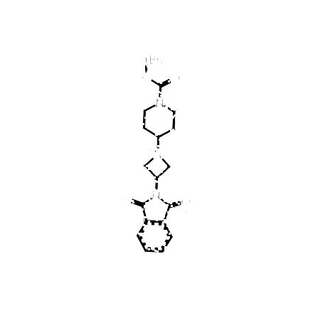 CC(C)(C)OC(=O)N1CCC(N2CC(N3C(=O)c4ccccc4C3=O)C2)CC1